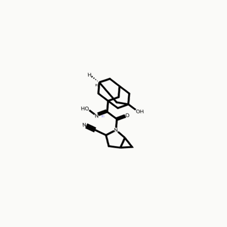 N#CC1CC2CC2N1C(=O)/C(=N/O)C12CC3C[C@@H](CC(O)(C3)C1)C2